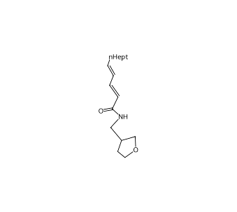 CCCCCCC/C=C/C=C/C(=O)NCC1CCOC1